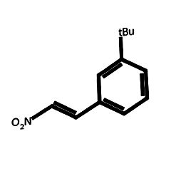 CC(C)(C)c1cccc(C=C[N+](=O)[O-])c1